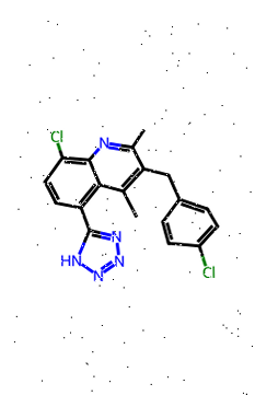 Cc1nc2c(Cl)ccc(-c3nnn[nH]3)c2c(C)c1Cc1ccc(Cl)cc1